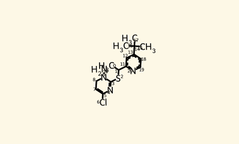 CC(SC1=NC(Cl)=CCN1N)c1cc(C(C)(C)C)ccn1